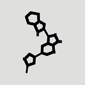 Cn1cc(-c2cnc3[nH]nc(-c4cc5ccccc5[nH]4)c3c2)cn1